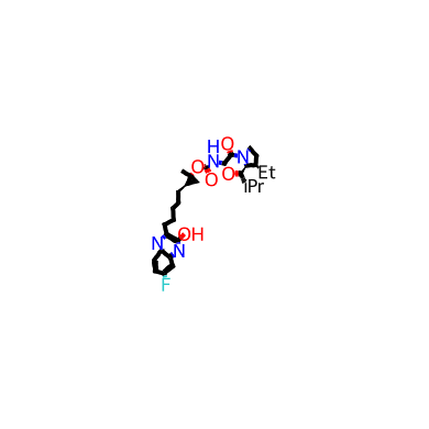 CC[C@@H]1CCN(C(=O)CNC(=O)OC2(C)C[C@H]2CCCCCc2nc3ccc(F)cc3nc2O)[C@@H]1C(=O)C(C)C